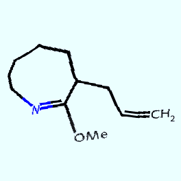 C=CCC1CCCCN=C1OC